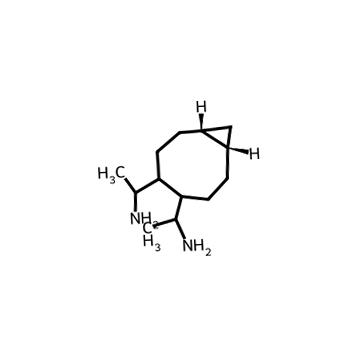 CC(N)C1CC[C@@H]2C[C@@H]2CCC1C(C)N